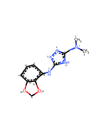 CN(C)c1nnc(Nc2cccc3c2OCO3)[nH]1